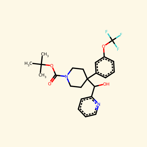 CC(C)(C)OC(=O)N1CCC(c2cccc(OC(F)(F)F)c2)(C(O)c2ccccn2)CC1